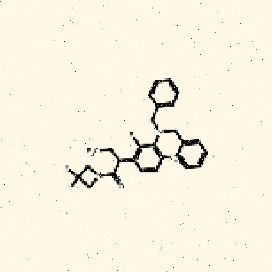 O=C(C(CC(F)(F)F)c1ccc([N+](=O)[O-])c(N(Cc2ccccc2)Cc2ccccc2)c1F)N1CC(F)(F)C1